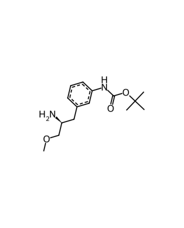 COC[C@@H](N)Cc1cccc(NC(=O)OC(C)(C)C)c1